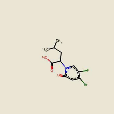 CC(C)CC(C(=O)O)n1cc(F)c(Br)cc1=O